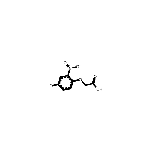 O=C(O)COc1ccc(F)cc1[N+](=O)[O-]